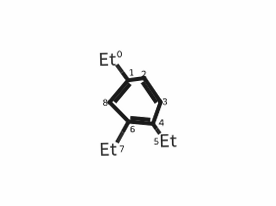 [CH2]Cc1ccc(CC)c(CC)c1